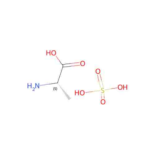 C[C@H](N)C(=O)O.O=S(=O)(O)O